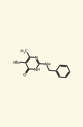 CCCCc1c(C)nc(NCc2ccccc2)[nH]c1=O